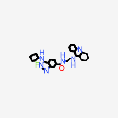 O=C(NCCNc1c2c(nc3ccccc13)CCCC2)c1ccc2c(Nc3ccccc3F)ncnc2c1